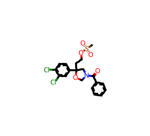 CS(=O)(=O)OCCC1(c2ccc(Cl)c(Cl)c2)CN(C(=O)c2ccccc2)CO1